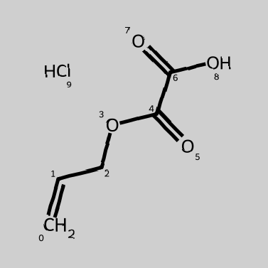 C=CCOC(=O)C(=O)O.Cl